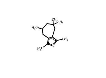 Cc1sc(C)c2c1CC(C)CC(C)(C)C2